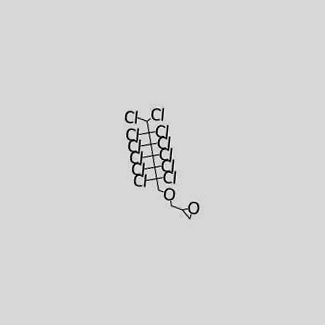 ClC(Cl)C(Cl)(Cl)C(Cl)(Cl)C(Cl)(Cl)C(Cl)(Cl)C(Cl)(Cl)COCC1CO1